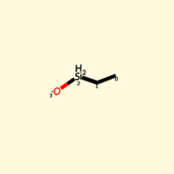 CC[SiH2][O]